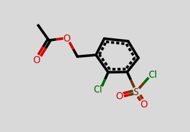 CC(=O)OCc1cccc(S(=O)(=O)Cl)c1Cl